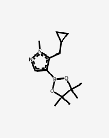 Cn1ncc(B2OC(C)(C)C(C)(C)O2)c1CC1CC1